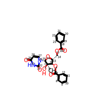 C[C@@]1(O)[C@H](OC(=O)c2ccccc2)[C@@H](COC(=O)c2ccccc2)O[C@H]1n1ccc(=O)[nH]c1=O